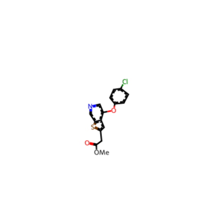 COC(=O)Cc1cc2c(Oc3ccc(Cl)cc3)cncc2s1